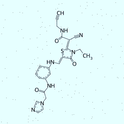 C#CCNC(=O)C(C#N)=c1sc(=CNc2cccc(NC(=O)Cn3ccnc3)c2)c(=O)n1CC